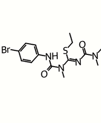 CCSC(=NC(=O)N(C)C)N(C)C(=O)Nc1ccc(Br)cc1